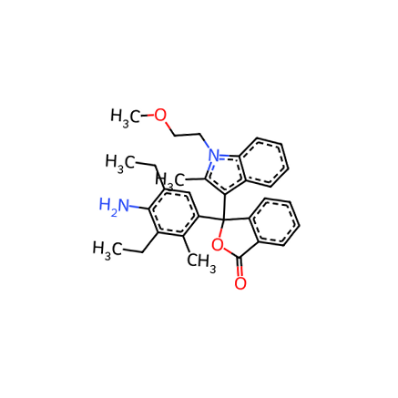 CCc1cc(C2(c3c(C)n(CCOC)c4ccccc34)OC(=O)c3ccccc32)c(C)c(CC)c1N